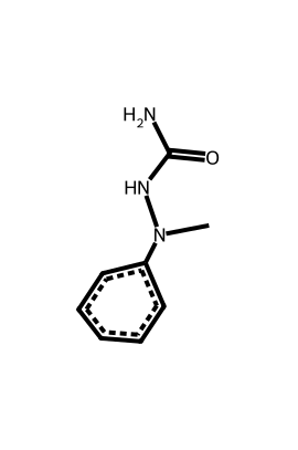 CN(NC(N)=O)c1ccccc1